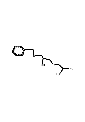 CC(C)COCC(O)CNCc1ccccc1